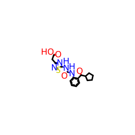 O=C(O)Cc1nsc(NC(=O)Nc2ccccc2C(=O)C2CCCC2)n1